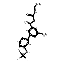 CCOC(=O)CC(N)c1cc(C)cc(-c2cccc(OC(F)(F)F)c2)c1